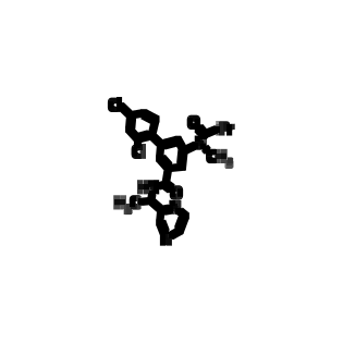 CC(C)C(=O)N(C)c1cc(C(=O)NC(C)c2cnccn2)cc(-c2ccc(Cl)cc2Cl)c1